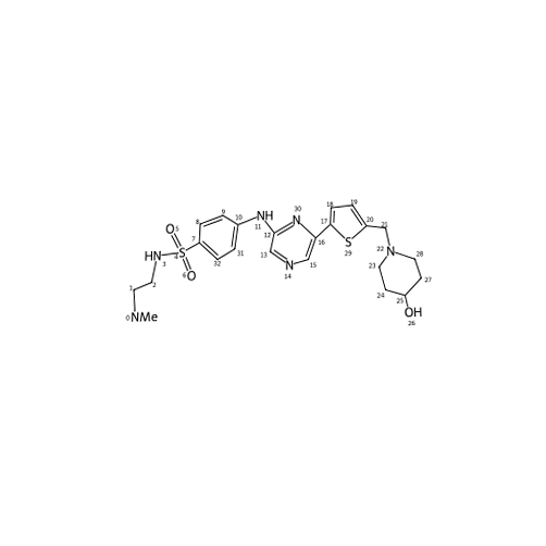 CNCCNS(=O)(=O)c1ccc(Nc2cncc(-c3ccc(CN4CCC(O)CC4)s3)n2)cc1